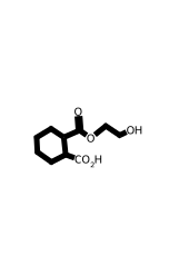 O=C(O)C1CCCCC1C(=O)OCCO